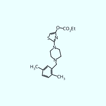 CCOC(=O)Oc1csc(N2CCN(Cc3cc(C)ccc3C)CC2)n1